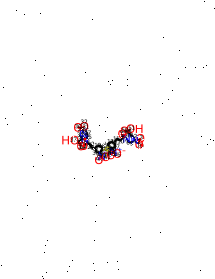 COC(=O)N1CCN(C(=O)C=Cc2ccc(Sc3ccc(C=CC(=O)N4CCN(C(=O)OC)CC4C(=O)O)cc3[N+](=O)[O-])c([N+](=O)[O-])c2)C(C(=O)O)C1